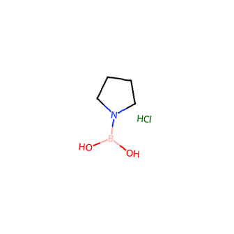 Cl.OB(O)N1CCCC1